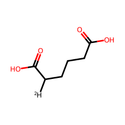 [2H]C(CCCC(=O)O)C(=O)O